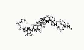 CN(CCCC1CNC(C)(C)C1)c1cccc(S(=O)(=O)NC(=O)c2ccc(-n3ccc(OCCC4CC4C(F)(F)F)n3)nc2Cl)n1